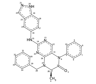 C[C@@H]1C(=O)N(c2ccccc2)c2cnc(Nc3ccc4[nH]ncc4c3)nc2N1Cc1ccccc1